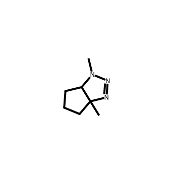 CN1N=NC2(C)CCCC12